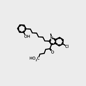 Cn1c(CCCCCCc2ccccc2O)c(C(=O)CCCC(=O)O)c2cc(Cl)ccc21